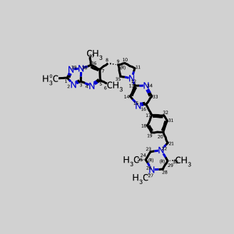 Cc1nc2nc(C)c(C[C@@H]3CCN(c4cnc(-c5ccc(CN6C[C@@H](C)N(C)C[C@H]6C)cc5)cn4)C3)c(C)n2n1